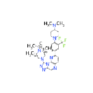 CC(C)N1[C@H](C)CN(c2nnc3cnc4ccc(-c5ccc(N6CCC(N(C)C)CC6)c(C(F)(F)F)c5)nc4n23)C[C@@H]1C